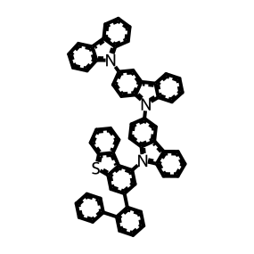 c1ccc(-c2ccccc2-c2cc(-n3c4ccccc4c4cc(-n5c6ccccc6c6cc(-n7c8ccccc8c8ccccc87)ccc65)ccc43)c3c(c2)sc2ccccc23)cc1